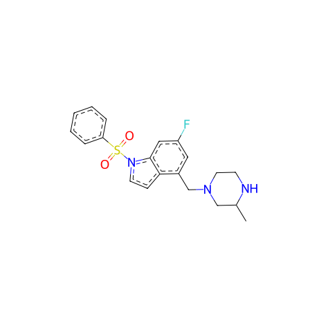 CC1CN(Cc2cc(F)cc3c2ccn3S(=O)(=O)c2ccccc2)CCN1